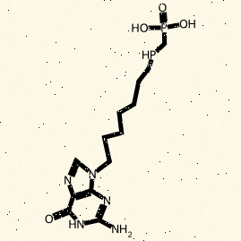 Nc1nc2c(ncn2CCCCCCCPCP(=O)(O)O)c(=O)[nH]1